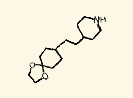 C1CC(CCC2CCC3(CC2)OCCO3)CCN1